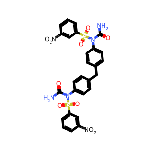 NC(=O)N(c1ccc(Cc2ccc(N(C(N)=O)S(=O)(=O)c3cccc([N+](=O)[O-])c3)cc2)cc1)S(=O)(=O)c1cccc([N+](=O)[O-])c1